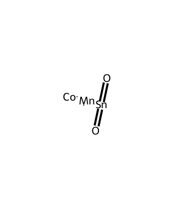 [Co].[Mn].[O]=[Sn]=[O]